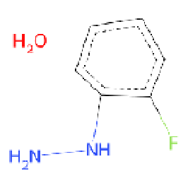 NNc1ccccc1F.O